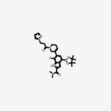 CN(C)C(=O)c1cc2c(B3OC(C)(C)C(C)(C)O3)cc(C3=CCCN(C(=O)CCn4cccn4)C3)c(F)c2[nH]1